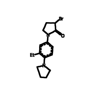 CCc1cc(N2CCC(Br)C2=O)ccc1N1CCCC1